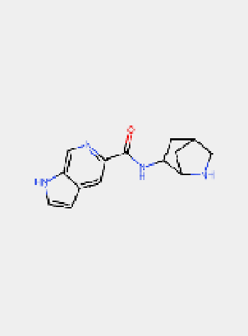 O=C(NC1CC2CNC1C2)c1cc2cc[nH]c2cn1